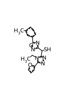 CCn1c(-c2ccco2)nnc1C(S)c1noc(-c2cccc(C)c2)n1